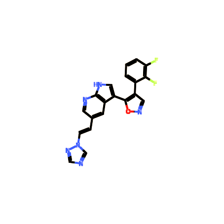 Fc1cccc(-c2cnoc2-c2c[nH]c3ncc(C=Cn4cncn4)cc23)c1F